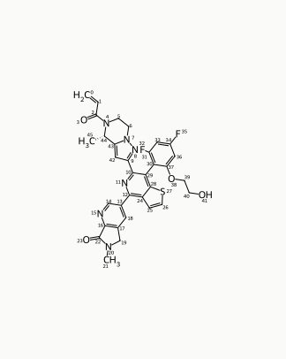 C=CC(=O)N1CCn2nc(-c3nc(-c4cnc5c(c4)CN(C)C5=O)c4ccsc4c3-c3c(F)cc(F)cc3OCCO)cc2[C@@H]1C